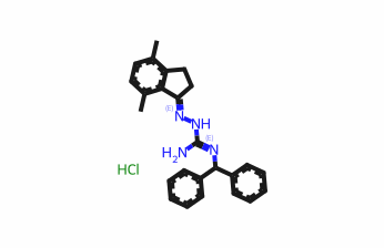 Cc1ccc(C)c2c1CC/C2=N\N/C(N)=N/C(c1ccccc1)c1ccccc1.Cl